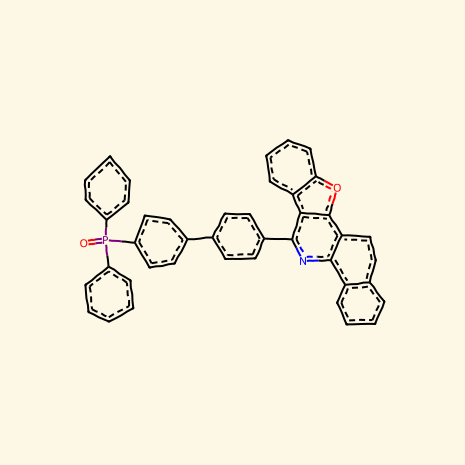 O=P(c1ccccc1)(c1ccccc1)c1ccc(-c2ccc(-c3nc4c5ccccc5ccc4c4oc5ccccc5c34)cc2)cc1